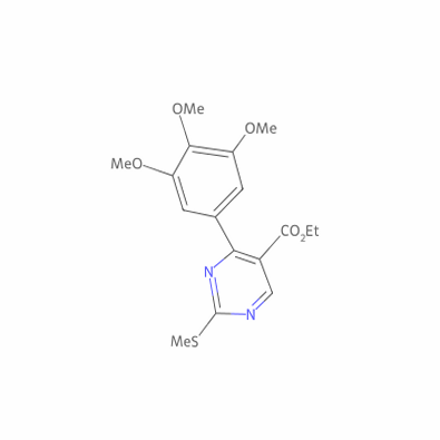 CCOC(=O)c1cnc(SC)nc1-c1cc(OC)c(OC)c(OC)c1